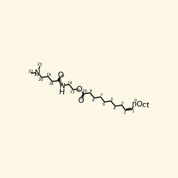 CCCCCCCC/C=C\CCCCCCCC(=O)OCCNC(=O)CCCN(C)C